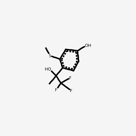 CSc1cc(O)ccc1C(C)(O)C(F)(F)F